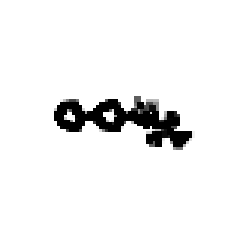 O=S(=O)(C1CC1)n1cc(-c2ccc(-c3ccccc3)cc2)nn1